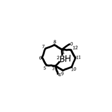 CC12BC(C)(CCCC1)CCCC2